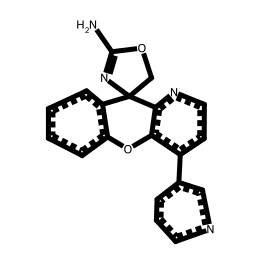 NC1=NC2(CO1)c1ccccc1Oc1c(-c3cccnc3)ccnc12